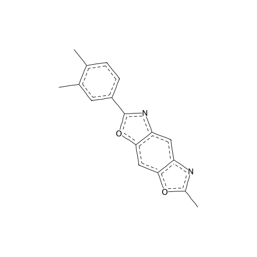 Cc1nc2cc3nc(-c4ccc(C)c(C)c4)oc3cc2o1